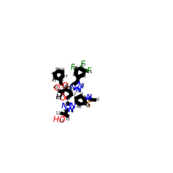 Cc1nc2ccc(-n3nc(C(C)(C)O)nc3[C@H]3C[C@@H](n4cc(-c5cc(F)c(F)c(F)c5)nn4)[C@H]4OC(c5ccccc5)OC[C@H]4O3)cc2s1